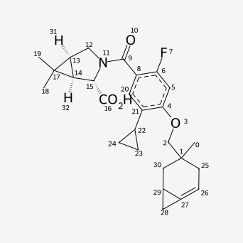 CC1(COc2cc(F)c(C(=O)N3C[C@H]4[C@@H]([C@H]3C(=O)O)C4(C)C)cc2C2CC2)CC=C2CC2C1